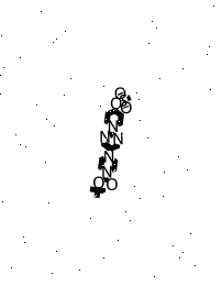 CC(C)(C)OC(=O)N1CCN(c2cnc(N3CCC(OS(C)(=O)=O)CC3)nc2)CC1